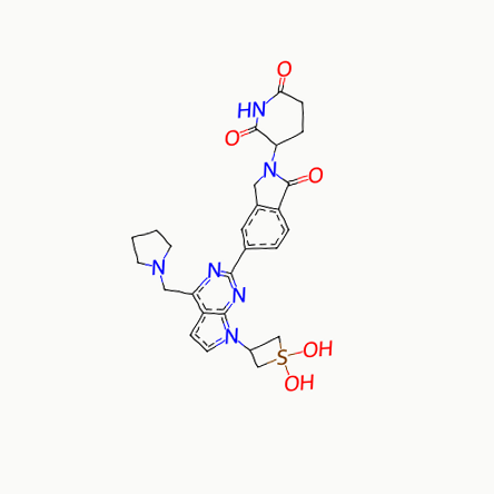 O=C1CCC(N2Cc3cc(-c4nc(CN5CCCC5)c5ccn(C6CS(O)(O)C6)c5n4)ccc3C2=O)C(=O)N1